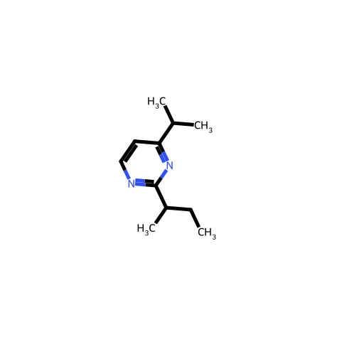 CCC(C)c1nccc(C(C)C)n1